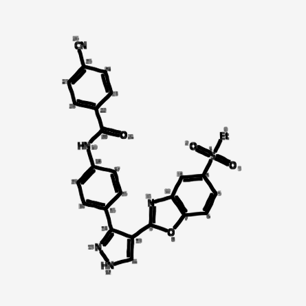 CCS(=O)(=O)c1ccc2oc(-c3c[nH]nc3-c3ccc(NC(=O)c4ccc(C#N)cc4)cc3)nc2c1